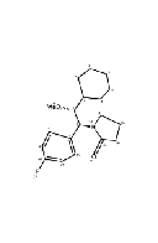 CO[C@H](C1CCCCC1)[C@H](c1ccc(F)cc1)N1CCCC1=O